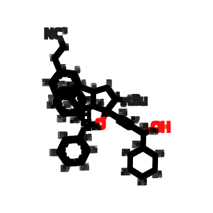 CC(C)(C)C1CC2c3cc(CCC#N)ccc3CC2C1(C#CC(O)C1CCCCC1)O[SiH](c1ccccc1)c1ccccc1